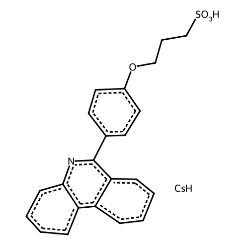 O=S(=O)(O)CCCOc1ccc(-c2nc3ccccc3c3ccccc23)cc1.[CsH]